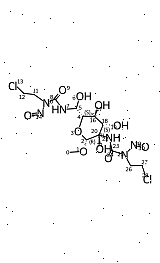 CO[C@@H]1O[C@H](C(O)NC(=O)N(CCCl)N=O)[C@@H](O)[C@H](O)[C@]1(O)NC(=O)N(CCCl)N=O